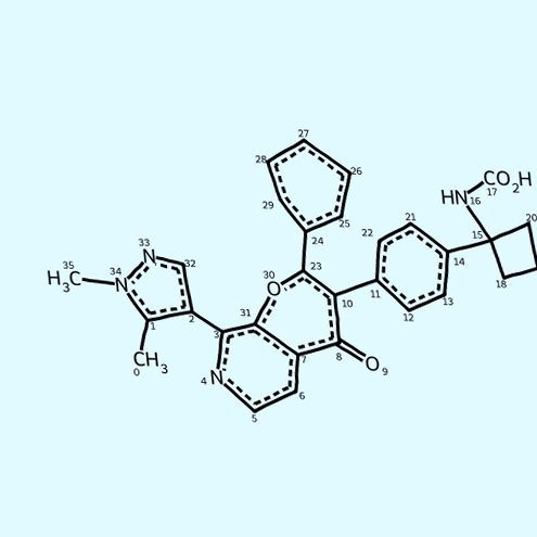 Cc1c(-c2nccc3c(=O)c(-c4ccc(C5(NC(=O)O)CCC5)cc4)c(-c4ccccc4)oc23)cnn1C